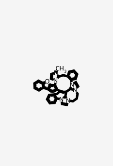 CN1C=CN2c3c(ccc4c3oc3ccccc34)CC34/C=C\Cc5ccccc5N5C=CN(CCCN6C=CN(c7ccccc7CC12)C63)C54